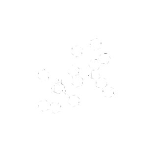 c1ccc(-c2cccc(-c3ccc4c(-c5nc(-c6ccccc6)nc(-c6cccc7ccccc67)n5)c(-c5ccccc5)cc(-n5c6cc7ccccc7cc6c6c7ccccc7ccc65)c4c3)c2)cc1